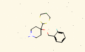 CN1CCC(OCc2ccccc2F)(C2SCCCS2)CC1.Cl